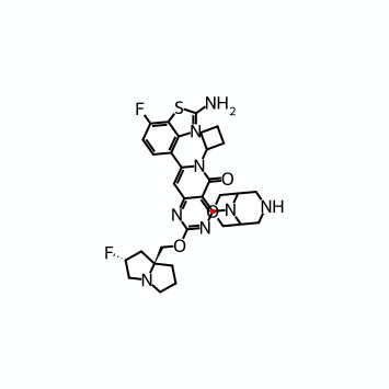 Nc1nc2c(-c3cc4nc(OC[C@@]56CCCN5C[C@H](F)C6)nc(N5C6CNCC5COC6)c4c(=O)n3C3CCC3)ccc(F)c2s1